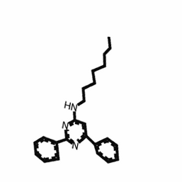 CCCCCCCCNc1cc(-c2ccccc2)nc(-c2ccccc2)n1